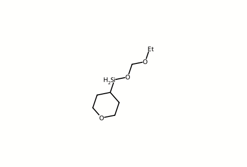 CCOCO[SiH2]C1CCOCC1